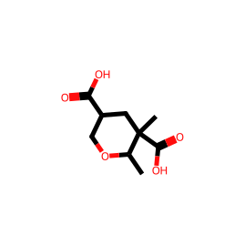 CC1OCC(C(=O)O)CC1(C)C(=O)O